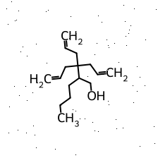 C=CCC(CC=C)(CC=C)C(CO)CCCC